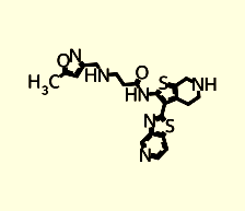 Cc1cc(CNCCC(=O)Nc2sc3c(c2-c2nc4cnccc4s2)CCNC3)no1